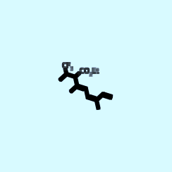 C=C/C(C)=C\C=C(/C)C(C(=O)OCC)C(C)C(F)(F)F